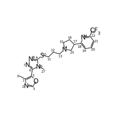 Cc1ncoc1-c1nnc(SCCCN2CCC(c3cccc(C(F)(F)F)n3)C2)n1C